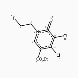 CCOC(=O)c1cn(CCF)c(=O)c(Cl)c1Cl